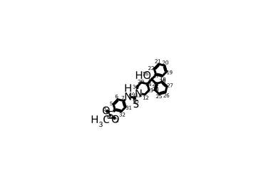 CS(=O)(=O)c1ccc(NC(=S)N2CCC(C(O)(c3ccccc3)c3ccccc3)CC2)cc1